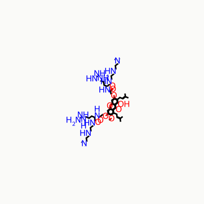 COc1c(OCC(=O)NC(CCCNC(=N)N)C(=O)NCCCNCCCN(C)C)cc2oc3cc(OCC(=O)NC(CCCNC(=N)N)C(=O)NCCCNCCCN(C)C)c(CC=C(C)C)c(O)c3c(=O)c2c1CC=C(C)C